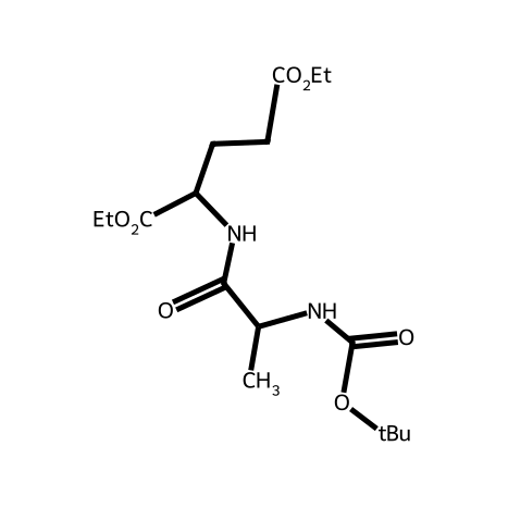 CCOC(=O)CCC(NC(=O)C(C)NC(=O)OC(C)(C)C)C(=O)OCC